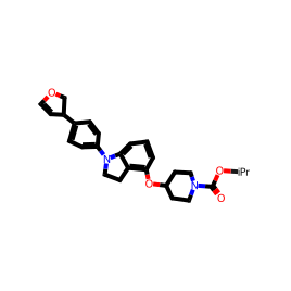 CC(C)OC(=O)N1CCC(Oc2cccc3c2CCN3c2ccc(C3C=COC3)cc2)CC1